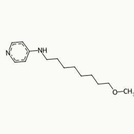 COCCCCCCCCNc1ccncc1